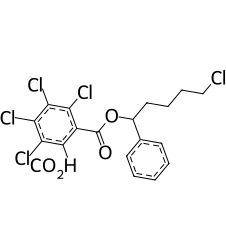 O=C(O)c1c(Cl)c(Cl)c(Cl)c(Cl)c1C(=O)OC(CCCCCl)c1ccccc1